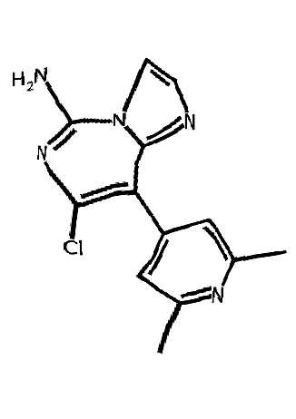 Cc1cc(-c2c(Cl)nc(N)n3ccnc23)cc(C)n1